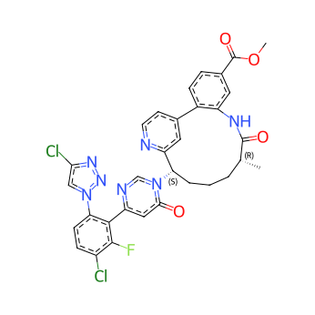 COC(=O)c1ccc2c(c1)NC(=O)[C@H](C)CCC[C@H](n1cnc(-c3c(-n4cc(Cl)nn4)ccc(Cl)c3F)cc1=O)c1cc-2ccn1